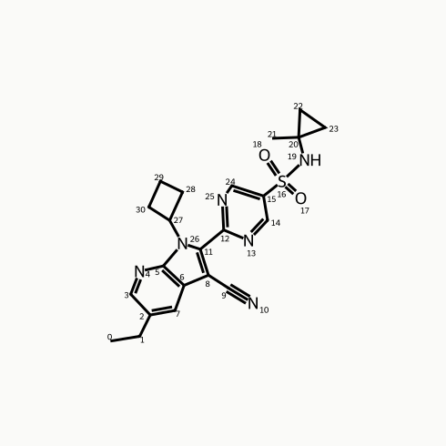 CCc1cnc2c(c1)c(C#N)c(-c1ncc(S(=O)(=O)NC3(C)CC3)cn1)n2C1CCC1